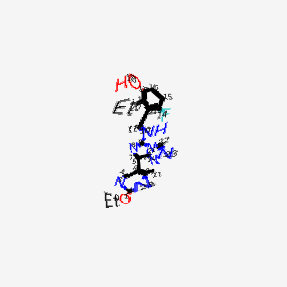 CCOc1ncc(-c2cnc(NCc3c(F)ccc(O)c3CC)n3cnnc23)c(C)n1